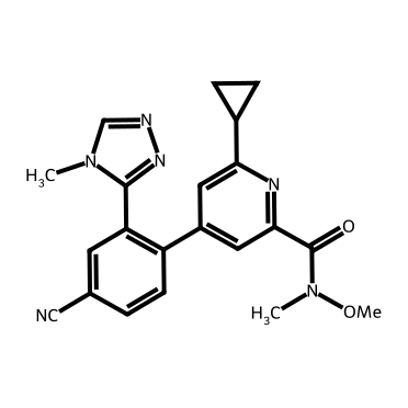 CON(C)C(=O)c1cc(-c2ccc(C#N)cc2-c2nncn2C)cc(C2CC2)n1